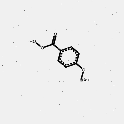 CCCCCCOc1ccc(C(=O)OO)cc1